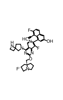 C#Cc1c(F)ccc2cc(O)cc(-c3ncc4c(N5CCC6(CCN6)C5)nc(OC[C@@]56CCCN5C[C@H](F)C6)nc4c3F)c12